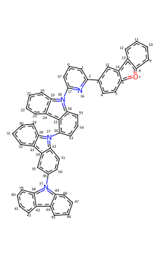 c1cc(-c2ccc3oc4ccccc4c3c2)nc(-n2c3ccccc3c3c(-n4c5ccccc5c5cc(-n6c7ccccc7c7ccccc76)ccc54)cccc32)c1